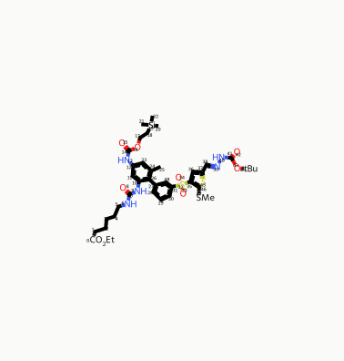 CCOC(=O)CCCCCNC(=O)Nc1cc(NC(=O)OCC[Si](C)(C)C)cc(C)c1-c1cccc(S(=O)(=O)c2cc(C=NNC(=O)OC(C)(C)C)sc2SC)c1